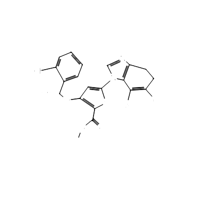 COC(=O)c1sc(-n2cnc3c2C(Br)=C(O)CC3)cc1O[C@H](C)c1ccccc1Cl